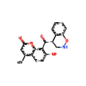 CCCc1cc(=O)oc2c(C(=O)C3CNOc4ccccc43)c(O)ccc12